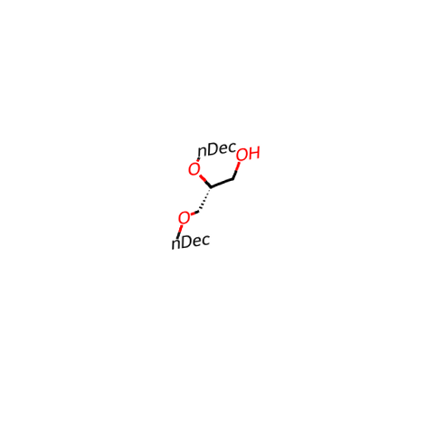 CCCCCCCCCCOC[C@@H](CO)OCCCCCCCCCC